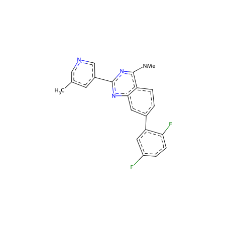 CNc1nc(-c2cncc(C)c2)nc2cc(-c3cc(F)ccc3F)ccc12